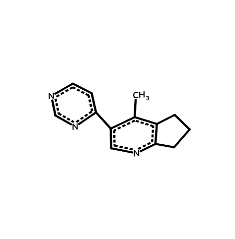 Cc1c(-c2ccncn2)cnc2c1CCC2